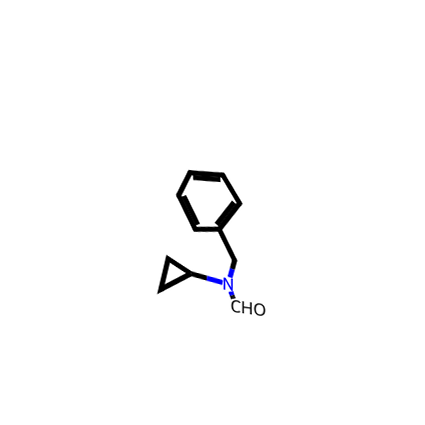 O=CN(Cc1ccccc1)C1CC1